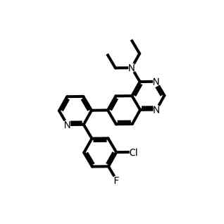 CCN(CC)c1ncnc2ccc(-c3cccnc3-c3ccc(F)c(Cl)c3)cc12